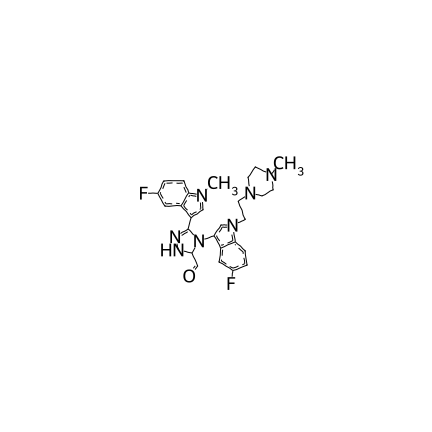 CN1CCN(CCn2cc(N3C(c4cn(C)c5ccc(F)cc45)=NNC3C=O)c3cc(F)ccc32)CC1